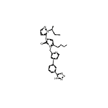 CCCCc1cn(-c2ccnn2C(C)CC)c(=O)n1Cc1cc(-c2cccc(-c3nnn[nH]3)c2)ccn1